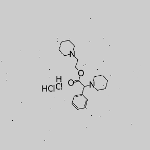 Cl.Cl.O=C(OCCN1CCCCC1)C(c1ccccc1)N1CCCCC1